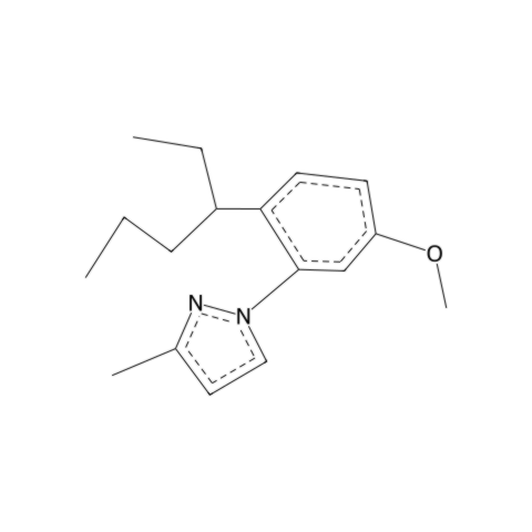 CCCC(CC)c1ccc(OC)cc1-n1ccc(C)n1